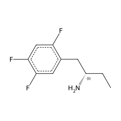 CC[C@H](N)Cc1cc(F)c(F)cc1F